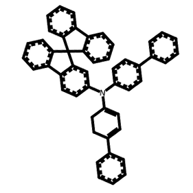 C1=C(c2ccccc2)CCC(N(c2ccc(-c3ccccc3)cc2)c2ccc3c(c2)C2(c4ccccc4-c4ccccc42)c2ccccc2-3)=C1